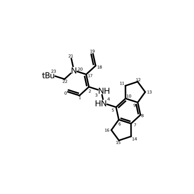 C=C/C(NNc1c2c(cc3c1CCC3)CCC2)=C(/C=C)N(C)CC(C)(C)C